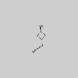 C[C@H]1C[C@H](N=[N+]=[N-])C1